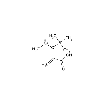 C=CC(=O)O.C[SiH2]O[Si](C)(C)C